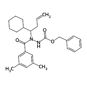 C=CCC(C1CCCCC1)N(NC(=O)OCc1ccccc1)C(=O)c1cc(C)cc(C)c1